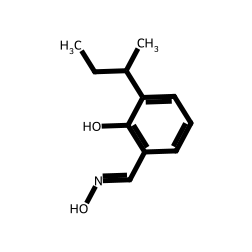 CCC(C)c1cccc(C=NO)c1O